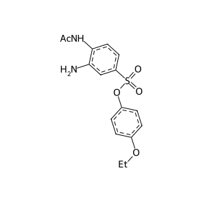 CCOc1ccc(OS(=O)(=O)c2ccc(NC(C)=O)c(N)c2)cc1